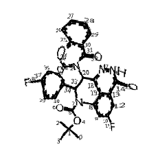 CC(C)(C)OC(=O)N1c2cc(F)cc3c(=O)[nH]nc(c23)C(n2c(=O)oc3ccccc3c2=O)C1c1ccc(F)cc1